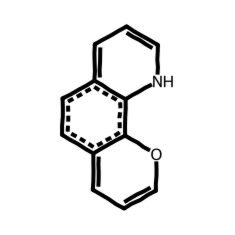 C1=CNc2c3c(ccc2=C1)=CC=CO3